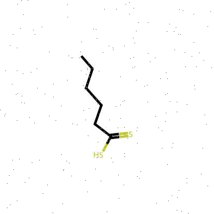 CCCCCC(=S)S